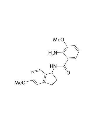 COc1ccc2c(c1)CCC2NC(=O)c1cccc(OC)c1N